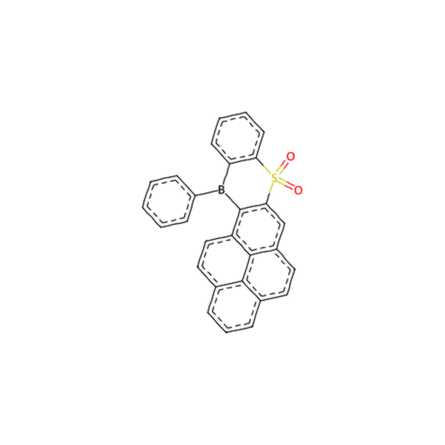 O=S1(=O)c2ccccc2B(c2ccccc2)c2c1cc1ccc3cccc4ccc2c1c34